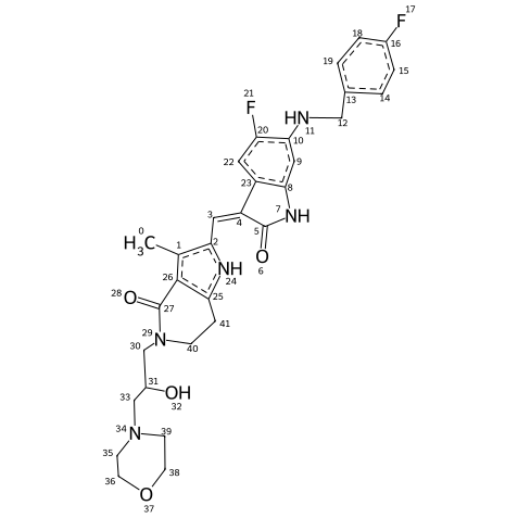 Cc1c(C=C2C(=O)Nc3cc(NCc4ccc(F)cc4)c(F)cc32)[nH]c2c1C(=O)N(CC(O)CN1CCOCC1)CC2